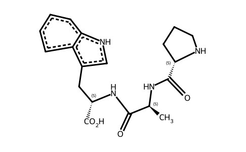 C[C@H](NC(=O)[C@@H]1CCCN1)C(=O)N[C@@H](Cc1c[nH]c2ccccc12)C(=O)O